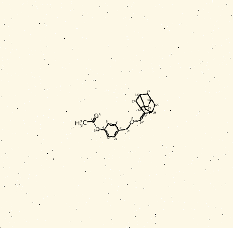 CC(=O)Oc1ccc(COC=C2C3CC4CC(C3)CC2C4)cc1